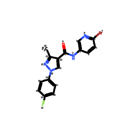 O=C(Nc1ccc(Br)nc1)c1cn(-c2ccc(F)cc2)nc1C(F)(F)F